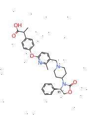 Cc1nc(Oc2ccc(C(C)C(=O)O)cc2)ccc1CN1CCC(N2C(=O)OC[C@H]2c2ccccc2)CC1